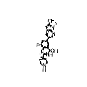 Cc1cn2cc(-c3cc(F)c4c(c3)C(O)NC(C3(F)CCNCC3)=N4)cnc2n1